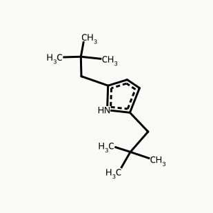 CC(C)(C)Cc1ccc(CC(C)(C)C)[nH]1